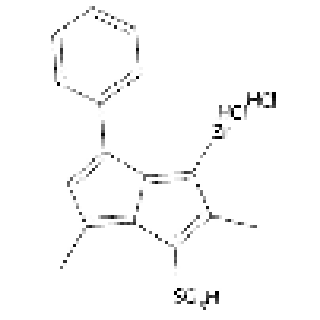 CC1=C2C(=[C]([Zr])C(C)=C2S(=O)(=O)O)C(c2ccccc2)=C1.Cl.Cl